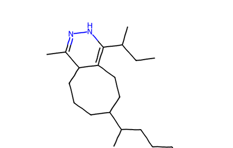 CCCCC(C)C1CCCC2C(C)=NNC(C(C)CC)=C2CC1